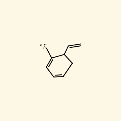 C=CC1CC=CC=C1C(F)(F)F